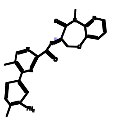 Cc1ccc(-c2nc(C(=O)/N=C3\COc4cccnc4N(C)C3=O)ncc2C)cc1P